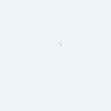 O=Cc1ccc(Oc2c(Cl)c(Cl)nc(Cl)c2Cl)cc1